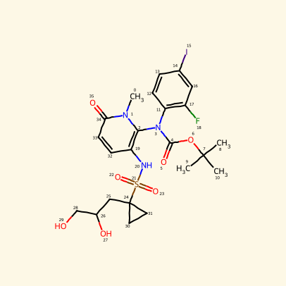 Cn1c(N(C(=O)OC(C)(C)C)c2ccc(I)cc2F)c(NS(=O)(=O)C2(CC(O)CO)CC2)ccc1=O